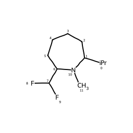 CC(C)C1CCCCC(C(F)F)N1C